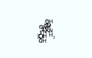 NCC(=O)NC(Cc1ccc(O)cc1)C(=O)NCC(=O)O